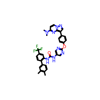 Cc1ccc(-c2ccc(C(F)(F)F)cc2NC(=O)Nc2cnc(Oc3ccc(-c4cnn5ccc(N(C)C)nc45)cc3)nc2)cc1C